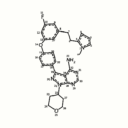 Cn1cccc1CCc1cc(F)cc(Oc2ccc(-c3nn(C4CCOCC4)c4ncnc(N)c34)cc2)c1